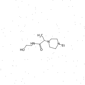 CCN1CCN(C(C)C(=O)NCCO)CC1